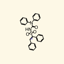 O=C(NS(=O)(=O)/C(=C/c1ccccc1)c1ccccc1)N(c1ccccc1)c1ccccc1